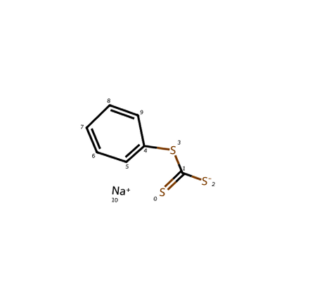 S=C([S-])Sc1ccccc1.[Na+]